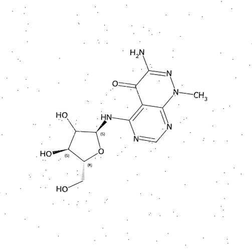 Cn1nc(N)c(=O)c2c(N[C@H]3O[C@H](CO)[C@@H](O)C3O)ncnc21